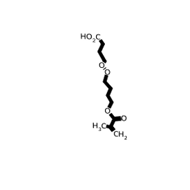 C=C(C)C(=O)OCCCCOOCCCC(=O)O